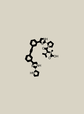 CC(C)[C@@H](C(=O)N1CCC[C@H]1c1nc(-c2cccc(C#Cc3cccc(-c4c[nH]c([C@@H]5CCCN5)n4)c3)c2)c[nH]1)N(C)C(=O)O